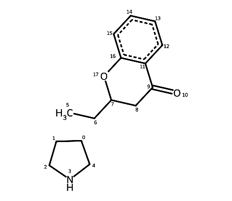 C1CCNC1.CCC1CC(=O)c2ccccc2O1